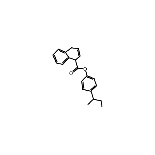 CCC(C)c1ccc(OC(=O)C2C=CCc3ccccc32)cc1